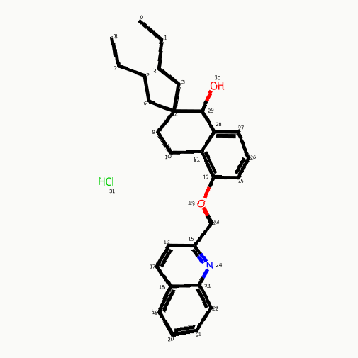 CCCCC1(CCCC)CCc2c(OCc3ccc4ccccc4n3)cccc2C1O.Cl